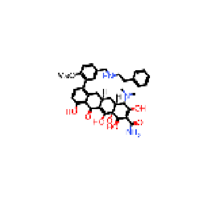 COc1ccc(CNCCc2ccccc2)cc1-c1ccc(O)c2c1C[C@@H]1C[C@@H]3[C@@H](N(C)C)C(O)=C(C(N)=O)C(=O)[C@]3(O)C(O)=C1C2=O